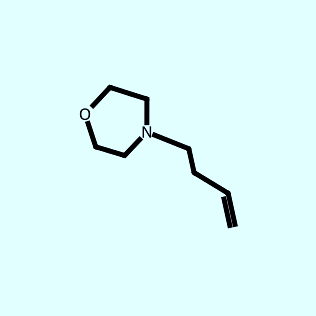 C=CCCN1CCOCC1